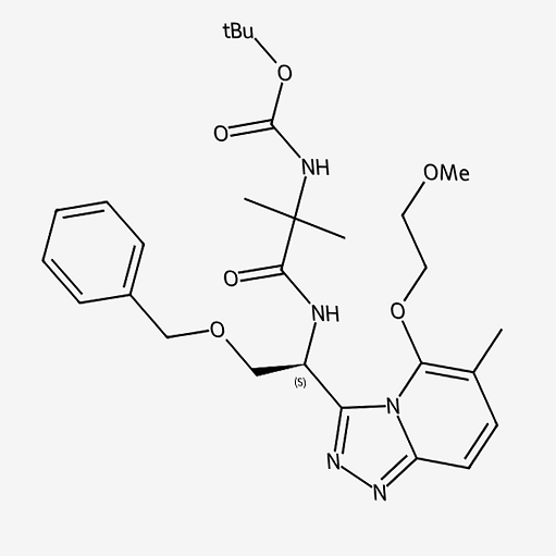 COCCOc1c(C)ccc2nnc([C@@H](COCc3ccccc3)NC(=O)C(C)(C)NC(=O)OC(C)(C)C)n12